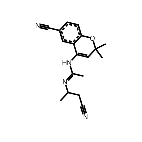 C/C(=N\C(C)CC#N)NC1=CC(C)(C)Oc2ccc(C#N)cc21